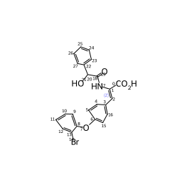 O=C(O)/C(=C/c1ccc(Oc2ccccc2Br)cc1)NC(=O)C(O)c1ccccc1